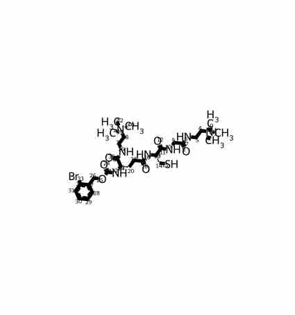 C[N+](C)(C)CCNC(=O)CNC(=O)[C@H](CS)NC(=O)CC[C@H](NC(=O)OCc1ccccc1Br)C(=O)NCC[N+](C)(C)C